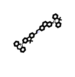 CC1(C)c2cc(/C=C/c3ccc4c(ccc5cc(N6c7ccccc7C(C)(C)c7ccccc76)ccc54)c3)ccc2-c2ccc(N3c4ccccc4Cc4ccccc43)cc21